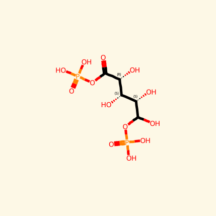 O=C(OP(=O)(O)O)[C@H](O)[C@@H](O)[C@H](O)C(O)OP(=O)(O)O